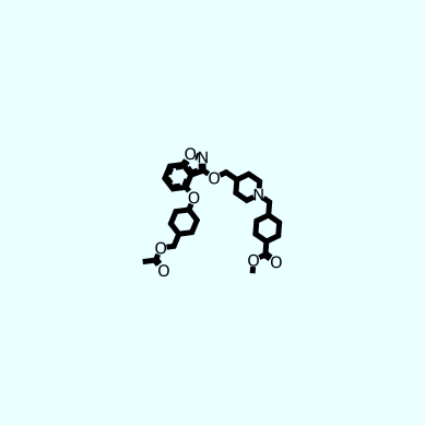 COC(=O)C1CCC(CN2CCC(COc3noc4cccc(OC5CCC(COC(C)=O)CC5)c34)CC2)CC1